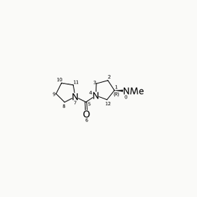 CN[C@@H]1CCN(C(=O)N2CCCC2)C1